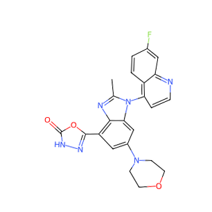 Cc1nc2c(-c3n[nH]c(=O)o3)cc(N3CCOCC3)cc2n1-c1ccnc2cc(F)ccc12